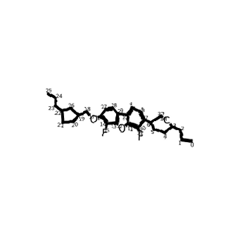 CCCC1CCC(c2ccc3c(oc4c(F)c(OCC5CCC(CCC)C5)ccc43)c2F)CC1